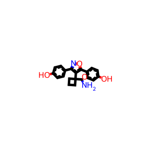 NC(=O)C1(c2c(-c3ccc(O)cc3)noc2-c2ccc(O)cc2)CCC1